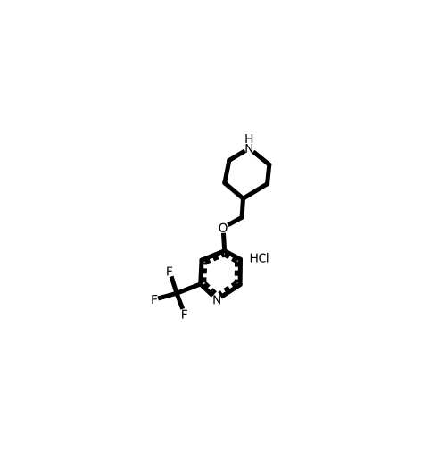 Cl.FC(F)(F)c1cc(OCC2CCNCC2)ccn1